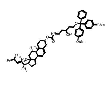 COc1ccc(C(OCCC(O)CCNC(=O)O[C@@H]2CC[C@]3(C)C(=CC=C4C3CC[C@]3(C)C4CC[C@H]3[C@@H](C)/C=C/C(C)C(C)C)C2)(c2ccccc2)c2ccc(OC)cc2)cc1